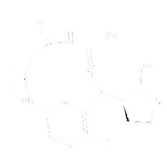 CC1(C)Nc2ccc(F)c(c2)[C@](C)([C@@H]2CCN=S2O)/N=C(\C(C)(C)C)NC(=O)O1